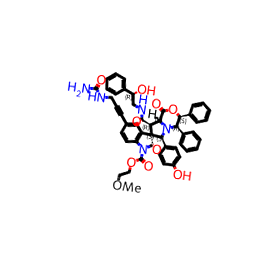 COCCOC(=O)N1C(=O)[C@@]2(c3cc(C#CCNC(N)=O)ccc31)[C@H](c1ccc(O)cc1)N1[C@H](c3ccccc3)[C@H](c3ccccc3)OC(=O)[C@H]1[C@@H]2C(=O)NC[C@H](O)c1ccccc1